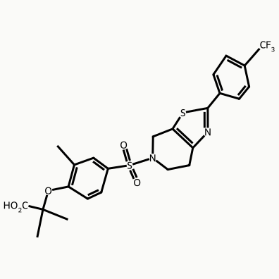 Cc1cc(S(=O)(=O)N2CCc3nc(-c4ccc(C(F)(F)F)cc4)sc3C2)ccc1OC(C)(C)C(=O)O